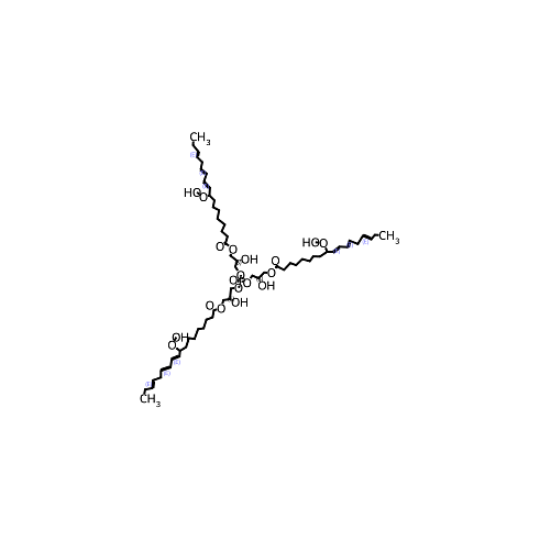 CC/C=C/C/C=C/C=C/C(CCCCCCCC(=O)OC[C@H](O)COP(=O)(OC[C@@H](O)COC(=O)CCCCCCCC(/C=C/C=C/C/C=C/CC)OO)OC[C@@H](O)COC(=O)CCCCCCCC(/C=C/C=C/C/C=C/CC)OO)OO